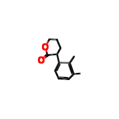 Cc1cccc(C2CCCOC2=O)c1C